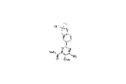 COC(=O)c1nc(-c2ccc3c(c2)OC(C)(C)O3)nc(N)c1OC